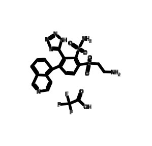 NCCS(=O)(=O)c1ccc(-c2cccc3cnccc23)c(-c2nnn[nH]2)c1S(N)(=O)=O.O=C(O)C(F)(F)F